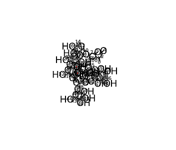 Cc1cc(=O)oc2cc(OCC3O[C@@H](C)C(O)[C@H](O)[C@@H]3O[C@@H]3OC(CO)[C@@H](O[C@@H]4OC(CO)[C@@H](O[C@@H]5OC(CO[C@@H]6OC(CO)[C@@H](O)[C@@H](O)C6O)[C@@H](O[C@@H]6OC(CO)[C@@H](O[C@@H]7OC(CO)[C@@H](C)[C@@H](O)C7O)[C@@H](O)C6O)[C@@H](O)C5Oc5ccc6c(C)cc(=O)oc6c5)[C@@H](O)C4O)[C@@H](O)C3O)ccc12